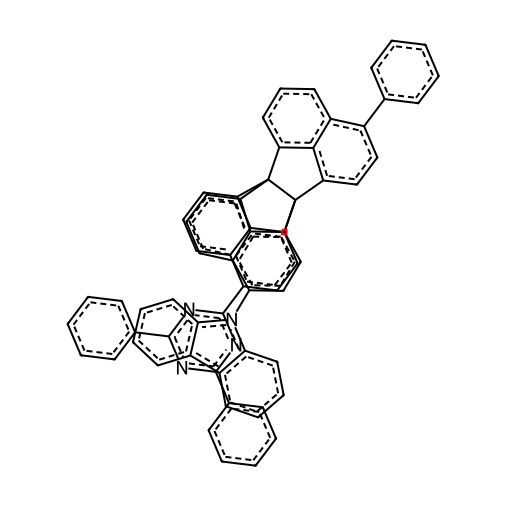 c1ccc(-c2nc(-c3ccccc3)nc(-c3ccc4c5c(cccc35)C35c6cccc7c(-c8ccccc8)ccc(c67)C43c3ccc(-n4c6ccccc6c6ccccc64)c4cccc5c34)n2)cc1